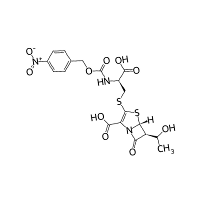 CC(O)[C@H]1C(=O)N2C(C(=O)O)=C(SC[C@@H](NC(=O)OCc3ccc([N+](=O)[O-])cc3)C(=O)O)S[C@H]12